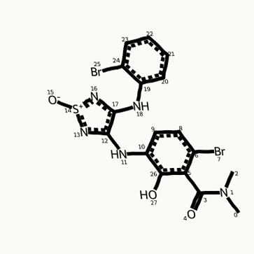 CN(C)C(=O)c1c(Br)ccc(Nc2n[s+]([O-])nc2Nc2ccccc2Br)c1O